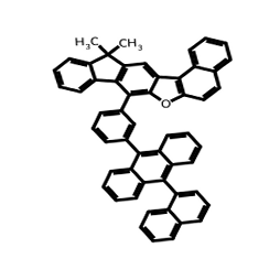 CC1(C)c2ccccc2-c2c1cc1c(oc3ccc4ccccc4c31)c2-c1cccc(-c2c3ccccc3c(-c3cccc4ccccc34)c3ccccc23)c1